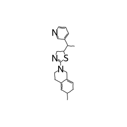 CC1C=C2CCN(C3=NCC(C(C)c4cccnc4)S3)CC2=CC1